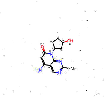 CSc1ncc2c(N)cc(=O)n(C3CCC(O)C3)c2n1